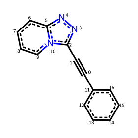 C(#Cc1nnc2ccccn12)c1ccccc1